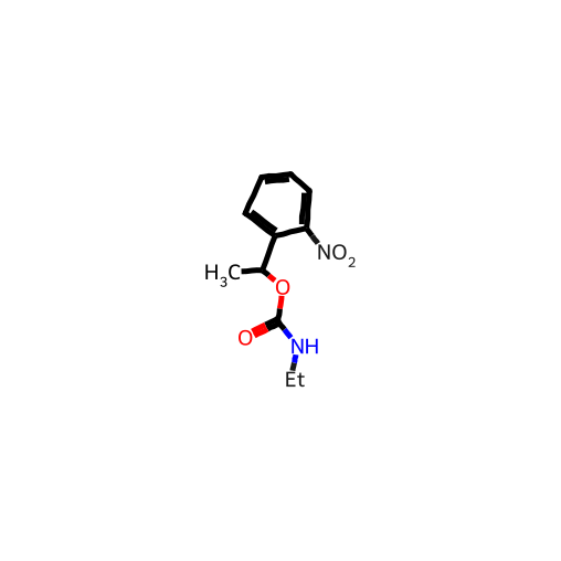 CCNC(=O)OC(C)c1ccccc1[N+](=O)[O-]